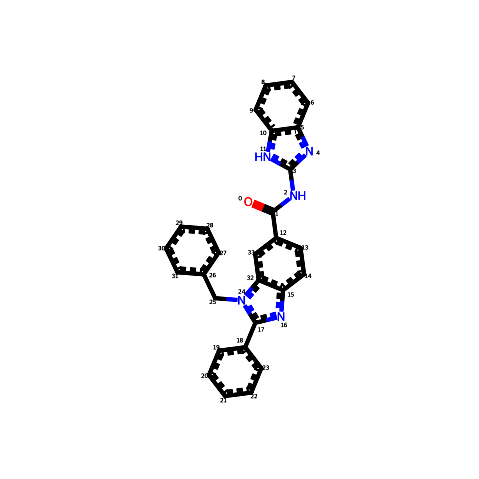 O=C(Nc1nc2ccccc2[nH]1)c1ccc2nc(-c3ccccc3)n(Cc3ccccc3)c2c1